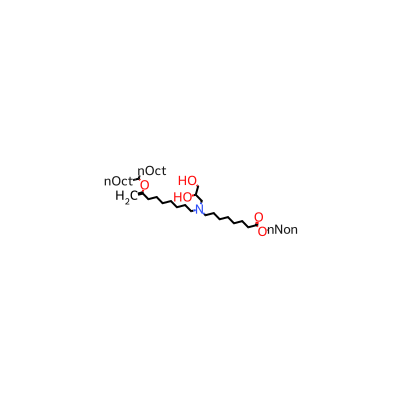 C=C(CCCCCCCN(CCCCCCCC(=O)OCCCCCCCCC)CC(O)CO)OC(CCCCCCCC)CCCCCCCC